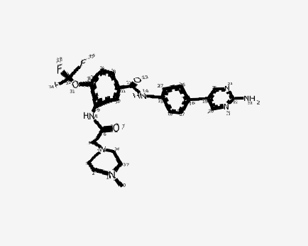 CN1CCN(CC(=O)Nc2cc(C(=O)Nc3ccc(-c4cnc(N)nc4)cc3)ccc2OC(F)(F)F)CC1